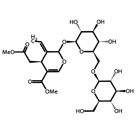 C/C=C1/C(O[C@@H]2O[C@H](CO[C@@H]3O[C@H](CO)[C@@H](O)[C@H](O)[C@H]3O)[C@@H](O)[C@H](O)[C@H]2O)OC=C(C(=O)OC)[C@H]1CC(=O)OC